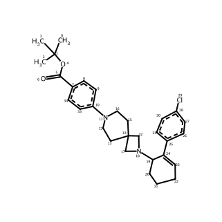 CC(C)(C)OC(=O)c1ccc(N2CCC3(CC2)CN(C2CCCC=C2c2ccc(Cl)cc2)C3)cc1